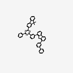 CC1(C)c2ccccc2-c2ccc(-c3nc(-c4ccccc4)nc(-c4cccc(-c5cccc6c5Cc5c(-c7cccc(-c8ccccc8)c7)cccc5-6)c4)n3)cc21